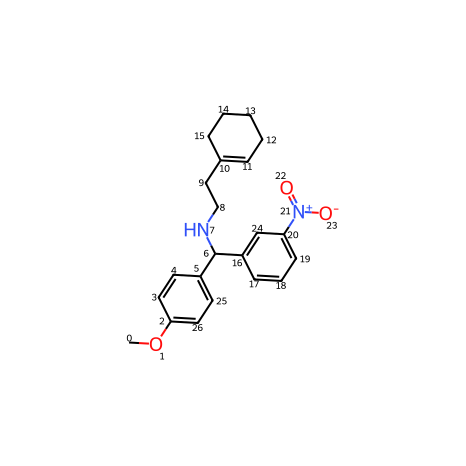 COc1ccc(C(NCCC2=CCCCC2)c2cccc([N+](=O)[O-])c2)cc1